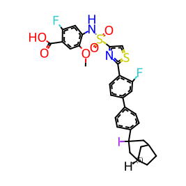 COc1cc(C(=O)O)c(F)cc1NS(=O)(=O)c1csc(-c2ccc(-c3ccc(C4(I)CC5CC[C@@H](C5)C4)cc3)cc2F)n1